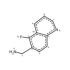 NCc1ccc2ncccc2c1F